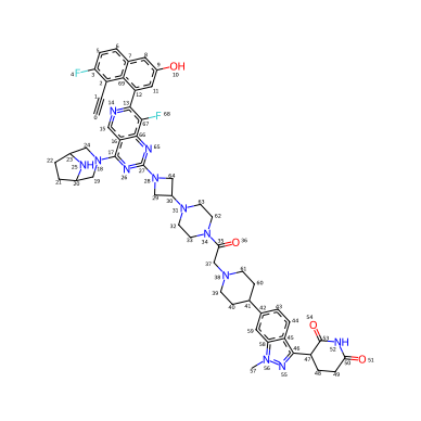 C#Cc1c(F)ccc2cc(O)cc(-c3ncc4c(N5CC6CCC(C5)N6)nc(N5CC(N6CCN(C(=O)CN7CCC(c8ccc9c(C%10CCC(=O)NC%10=O)nn(C)c9c8)CC7)CC6)C5)nc4c3F)c12